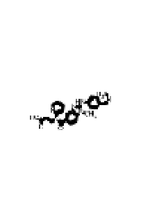 Cn1c(Nc2ccc(/C=N\N)cc2)nc2cc(C(=O)N(CCC(=O)O)c3ccccn3)ccc21